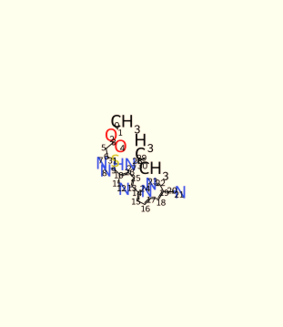 CCOC(=O)Cc1nnc(-c2cnc(-c3ccc4cc(C#N)cnn34)cc2NC(C)C)s1